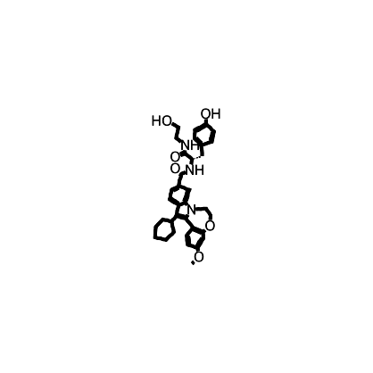 COc1ccc2c(c1)OCCn1c-2c(C2CCCCC2)c2ccc(C(=O)N[C@@H](Cc3ccc(O)cc3)C(=O)NCCO)cc21